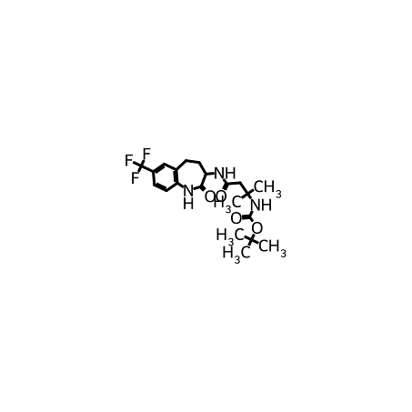 CC(C)(CC(=O)NC1CCc2cc(C(F)(F)F)ccc2NC1=O)NC(=O)OC(C)(C)C